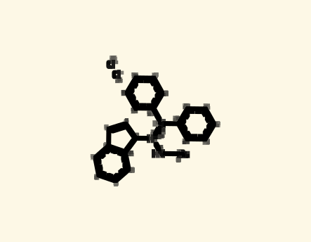 CCC(C)[NH][Hf+2]([CH]1C=Cc2ccccc21)[SiH](c1ccccc1)c1ccccc1.[Cl-].[Cl-]